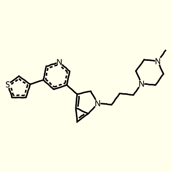 CN1CCN(CCCN2CC(c3cncc(-c4ccsc4)c3)=C3C=C32)CC1